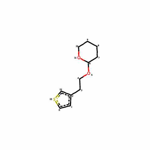 c1cc(CCOC2CCCCO2)cs1